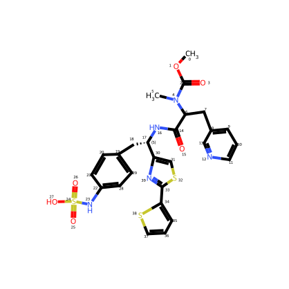 COC(=O)N(C)C(Cc1cccnc1)C(=O)N[C@@H](Cc1ccc(NS(=O)(=O)O)cc1)c1csc(-c2cccs2)n1